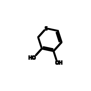 OC1=C(O)CSC=C1